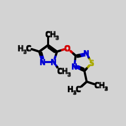 Cc1nn(C)c(Oc2nsc(C(C)C)n2)c1C